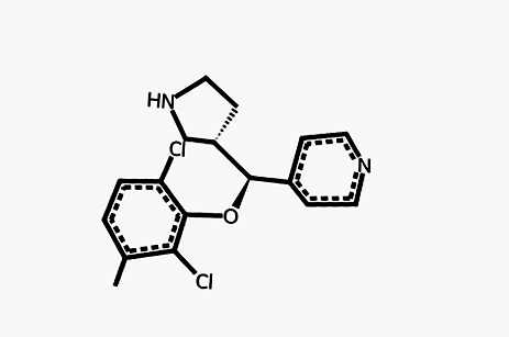 Cc1ccc(Cl)c(O[C@H](c2ccncc2)[C@H]2CCNC2)c1Cl